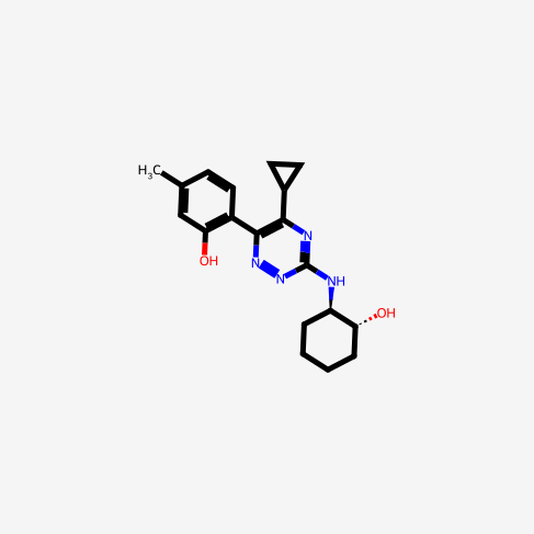 Cc1ccc(-c2nnc(N[C@@H]3CCCC[C@H]3O)nc2C2CC2)c(O)c1